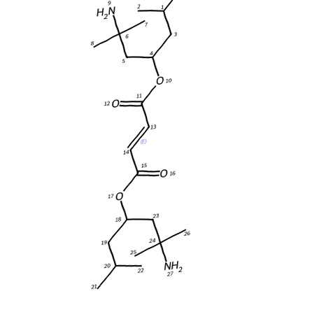 CC(C)CC(CC(C)(C)N)OC(=O)/C=C/C(=O)OC(CC(C)C)CC(C)(C)N